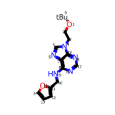 CC(C)(C)OCCn1cnc2c(NCc3ccco3)ncnc21